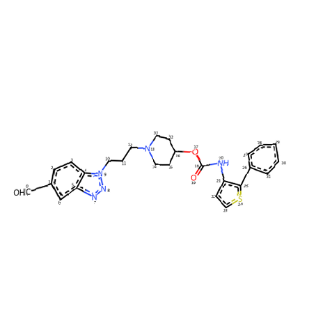 O=Cc1ccc2c(c1)nnn2CCCN1CCC(OC(=O)Nc2ccsc2-c2ccccc2)CC1